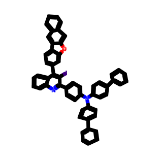 Ic1c(-c2ccc(N(c3ccc(-c4ccccc4)cc3)c3ccc(-c4ccccc4)cc3)cc2)nc2ccccc2c1-c1ccc2c(c1)oc1cc3ccccc3cc12